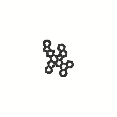 c1ccc2cc(-c3nc4sc5ccccc5c4nc3-n3c4ccc5c6ccccc6c6ccccc6c5c4c4ccc5ccccc5c43)ccc2c1